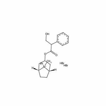 Br.Br.CC(C)[N+]1(C)[C@@H]2CC[C@H]1CC(OC(=O)C(CO)c1ccccc1)C2